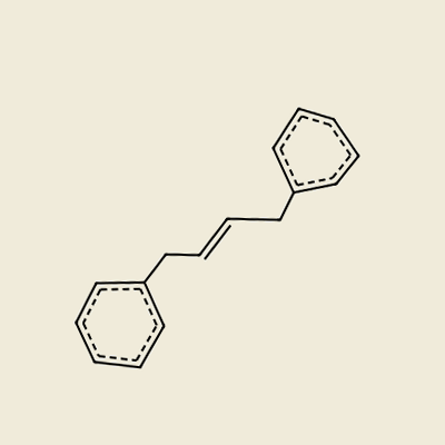 C(=CCc1ccccc1)Cc1ccccc1